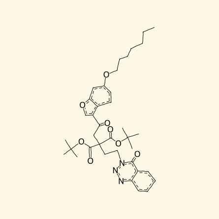 CCCCCCCOc1ccc2c(C(=O)CC(CCn3nnc4ccccc4c3=O)(C(=O)OC(C)(C)C)C(=O)OC(C)(C)C)coc2c1